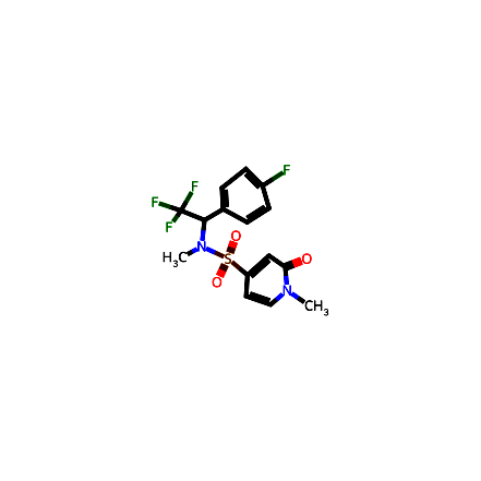 CN(C(c1ccc(F)cc1)C(F)(F)F)S(=O)(=O)c1ccn(C)c(=O)c1